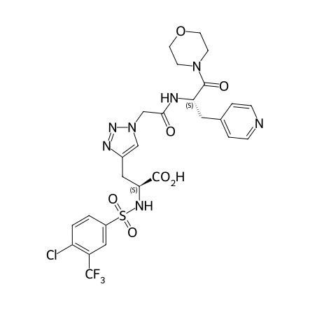 O=C(Cn1cc(C[C@H](NS(=O)(=O)c2ccc(Cl)c(C(F)(F)F)c2)C(=O)O)nn1)N[C@@H](Cc1ccncc1)C(=O)N1CCOCC1